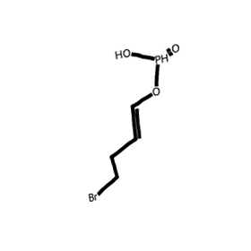 O=[PH](O)OC=CCCBr